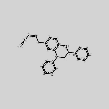 O=B/C=N\Cc1ccc2c(c1)C(c1ccccc1)CC(c1ccccc1)N2